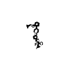 O=C(N1CC2(CCC(N3CCC(c4ccccc4OCC4CC4)CC3)C2)C1)C1(F)CC1